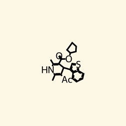 CC(=O)C1=C(C)NC(C)=C(C(=O)OC2CCCC2)C1c1csc2ccccc12